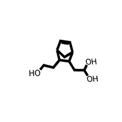 OCCC1C2C=CC(C2)C1CC(O)O